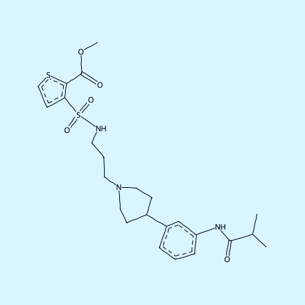 COC(=O)c1sccc1S(=O)(=O)NCCCN1CCC(c2cccc(NC(=O)C(C)C)c2)CC1